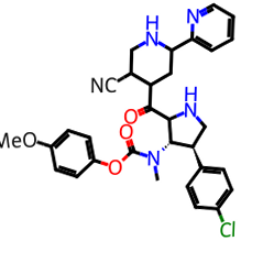 COc1ccc(OC(=O)N(C)[C@@H]2C(C(=O)C3CC(c4ccccn4)NCC3C#N)NC[C@H]2c2ccc(Cl)cc2)cc1